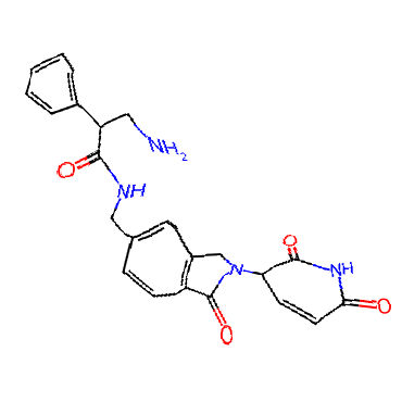 NCC(C(=O)NCc1ccc2c(c1)CN(C1C=CC(=O)NC1=O)C2=O)c1ccccc1